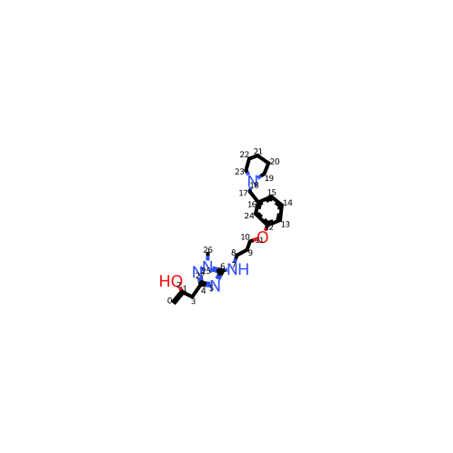 C=C(O)Cc1nc(NCCCOc2cccc(CN3CCCCC3)c2)n(C)n1